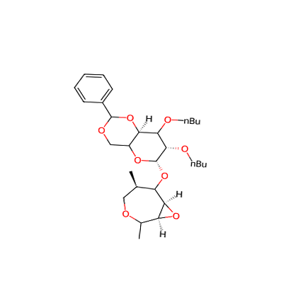 CCCCOC1[C@@H]2OC(c3ccccc3)OCC2O[C@@H](OC2[C@H](C)COC(C)[C@@H]3O[C@H]23)[C@H]1OCCCC